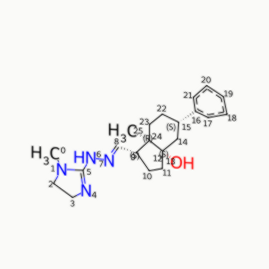 CN1CCN=C1NN=C[C@H]1CC[C@]2(O)C[C@@H](c3ccccc3)CC[C@]12C